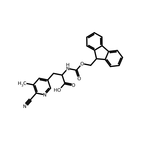 Cc1cc(CC(NC(=O)OCC2c3ccccc3-c3ccccc32)C(=O)O)cnc1C#N